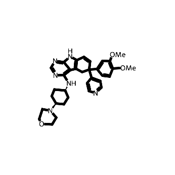 COc1ccc(C2(c3ccncc3)C=Cc3[nH]c4ncnc(N[C@H]5CC[C@H](N6CCOCC6)CC5)c4c3C2)cc1OC